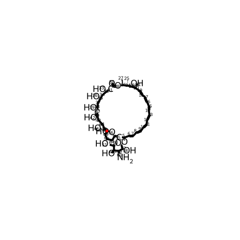 CC1OC(O[C@H]2/C=C/C=C/C=C/C=C/C=C/C=C/C=C/[C@H](C)[C@@H](O)[C@@H](C)[C@H](C)OC(=O)C[C@H](O)C[C@H](O)C[C@H](O)CC(O)C[C@H](O)C[C@]3(O)C[C@H](O)[C@@H](C)C(C2)O3)C(O)C(N)C1O